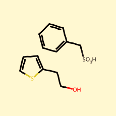 O=S(=O)(O)Cc1ccccc1.OCCc1cccs1